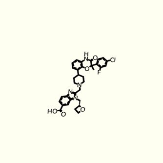 CC1(c2ccc(Cl)cc2F)Oc2c(cccc2C2CCN(Cc3nc4ccc(C(=O)O)cc4n3C[C@@H]3CCO3)CC2)NC1=O